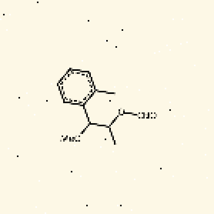 COC(c1ccccc1C)C(C)OC=O